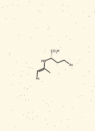 CC(=O)/C=C(\C)N[C@@H](CCC(C)=O)C(=O)O